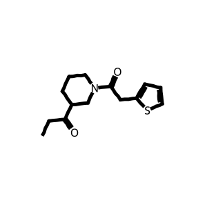 CCC(=O)C1CCCN(C(=O)Cc2cccs2)C1